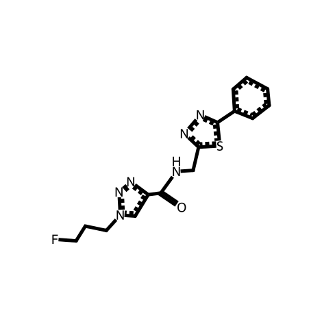 O=C(NCc1nnc(-c2ccccc2)s1)c1cn(CCCF)nn1